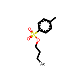 CC(=O)CCCOS(=O)(=O)c1ccc(C)cc1